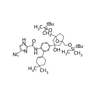 CC1(C)CC=C(c2cc(C3(O)CC4(CO[Si](C)(C)C(C)(C)C)CCC(CO[Si](C)(C)C(C)(C)C)(C3)O4)ccc2NC(=O)c2nc(C#N)c[nH]2)CC1